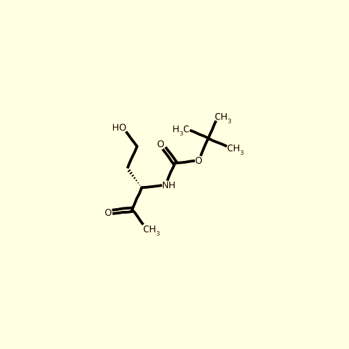 CC(=O)[C@H](CCO)NC(=O)OC(C)(C)C